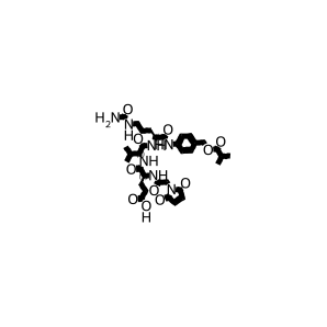 CC(C)C(=O)OCc1ccc(NC(=O)[C@H](CCCNC(N)=O)NC(=O)[C@@H](NC(=O)[C@H](CCC(=O)O)NC(=O)CN2C(=O)C=CC2=O)C(C)C)cc1